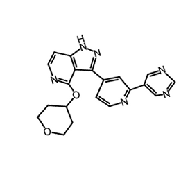 c1ncc(-c2cc(-c3n[nH]c4ccnc(OC5CCOCC5)c34)ccn2)cn1